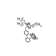 CCOc1nc(Cc2ccc(-c3ccccc3-c3nnn[nH]3)cc2)n(C(C)CC)n1